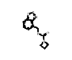 O=C(NCc1cccc2nsnc12)N1CCC1